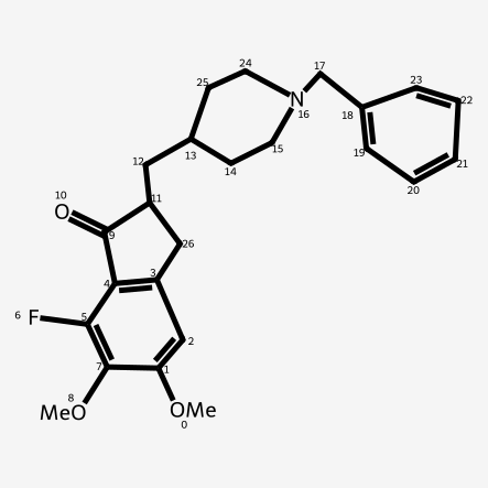 COc1cc2c(c(F)c1OC)C(=O)C(CC1CCN(Cc3ccccc3)CC1)C2